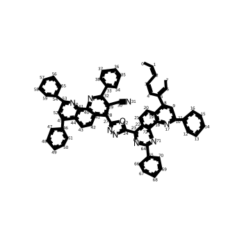 C\C=C/C=C\C(=C/C)c1cc(-c2ccccc2)nc2c1ccc1c(-c3nnc(-c4c(C#N)c(-c5ccccc5)nc5c4ccc4c(-c6ccccc6)cc(-c6ccccc6)nc45)o3)nc(-c3ccccc3)nc12